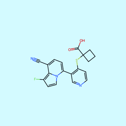 N#Cc1ccc(-c2cnccc2SC2(C(=O)O)CCC2)n2ccc(F)c12